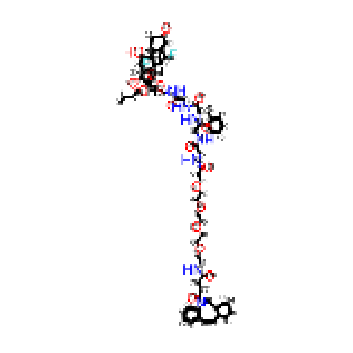 CCCC1O[C@@H]2C[C@H]3[C@@H]4C[C@H](F)C5=CC(=O)C=C[C@]5(C)[C@@]4(F)[C@@H](O)C[C@]3(C)[C@]2(C(=O)COCNC(=O)CNC(=O)[C@H](Cc2ccccc2)NC(=O)CNC(=O)CNC(=O)CCOCCOCCOCCOCCNC(=O)CCC(=O)N2Cc3ccccc3C#Cc3ccccc32)O1